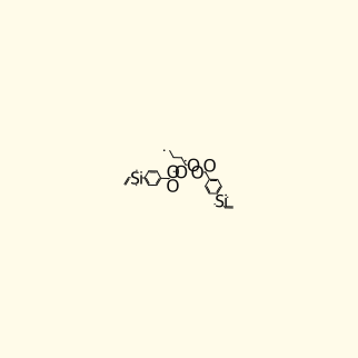 [CH2]CC[C](OOC(=O)c1ccc([Si](C)(C)C=C)cc1)OOC(=O)c1ccc([Si](C)(C)C=C)cc1